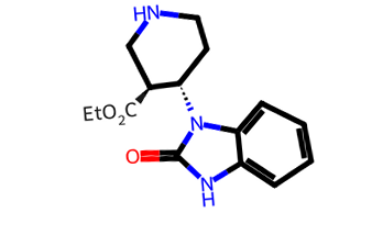 CCOC(=O)[C@H]1CNCC[C@@H]1n1c(=O)[nH]c2ccccc21